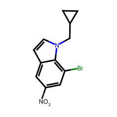 O=[N+]([O-])c1cc(Br)c2c(ccn2CC2CC2)c1